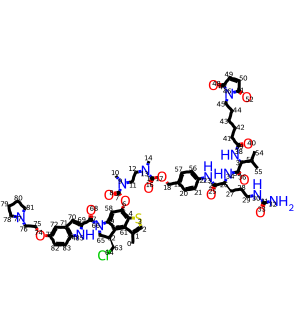 Cc1csc2c(OC(=O)N(C)CCN(C)C(=O)OCc3ccc(NC(=O)[C@H](CCCNC(N)=O)NC(=O)[C@@H](NC(=O)CCCCCN4C(=O)C=CC4=O)C(C)C)cc3)cc3c(c12)[C@@H](CCl)CN3C(=O)c1cc2cc(OCCN3CCCC3)ccc2[nH]1